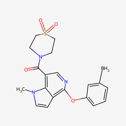 Bc1cccc(Oc2ncc(C(=O)N3CCS(=O)(=O)CC3)c3c2ccn3C)c1